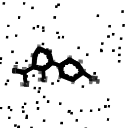 Cc1ccc(-c2cccc(C(=O)Cl)c2Cl)cc1